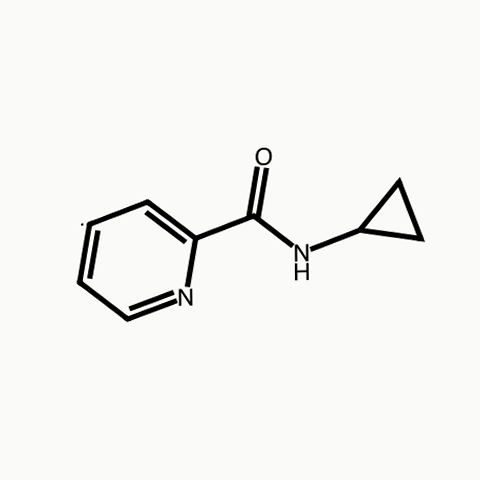 O=C(NC1CC1)c1c[c]ccn1